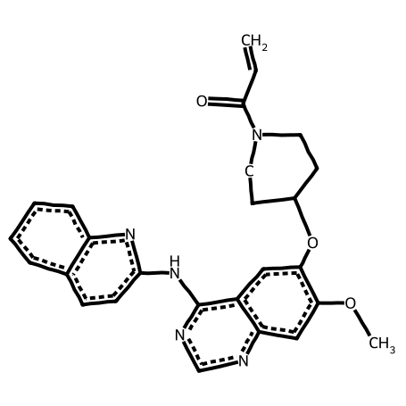 C=CC(=O)N1CCC(Oc2cc3c(Nc4ccc5ccccc5n4)ncnc3cc2OC)CC1